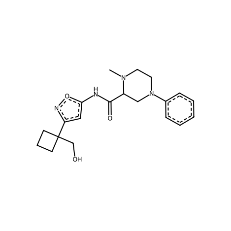 CN1CCN(c2ccccc2)CC1C(=O)Nc1cc(C2(CO)CCC2)no1